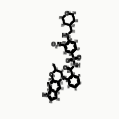 CC1CN(c2ccccc2C(=O)NS(=O)(=O)c2ccc(NCC3CCOCC3)c([N+](=O)[O-])c2)c2cc3cc[nH]c3nc2O1